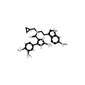 COc1ccc2c(CCN(CC3CC3)C(=O)c3nc(C)sc3-c3ccc(C)c(C)c3)c[nH]c2c1